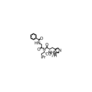 CC(C)C[C@@H](C(=O)O)N(C(=O)CNC(=O)c1ccccc1)C(=O)[C@@H](N)Cc1cnc[nH]1